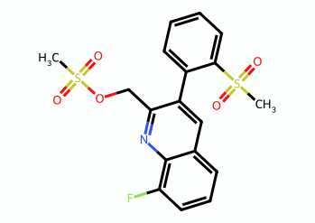 CS(=O)(=O)OCc1nc2c(F)cccc2cc1-c1ccccc1S(C)(=O)=O